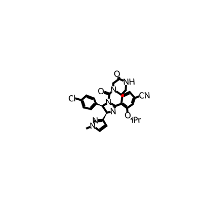 CC(C)Oc1cc(C#N)ccc1C1=N[C@@H](c2ccn(C)n2)[C@@H](c2ccc(Cl)cc2)N1C(=O)N1CCNC(=O)C1